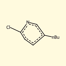 CCCCc1ccc(Cl)nc1